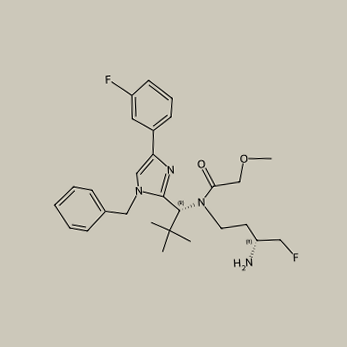 COCC(=O)N(CC[C@@H](N)CF)[C@@H](c1nc(-c2cccc(F)c2)cn1Cc1ccccc1)C(C)(C)C